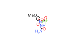 COc1ccc(NC(=O)NCC(N)=O)cc1.O=C(O)C(F)(F)F